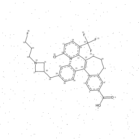 O=C(O)c1ccc2c(c1)CCCC(c1nc(Cl)ccc1C(F)(F)F)=C2c1ccc(CC2CN(CCCF)C2)cc1